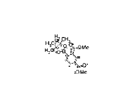 COC(=O)c1ccc(B2OC(C)(C)C(C)(C)O2)c(C(=O)OC)c1